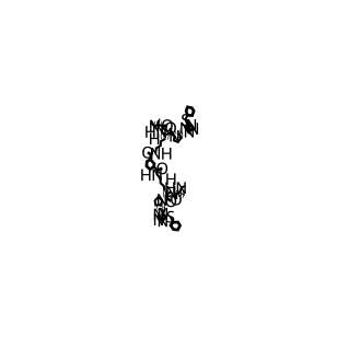 CN[C@@H](C)C(=O)N[C@@H](CCCCNC(=O)c1cccc(C(=O)NCCCC[C@H](NC(=O)[C@H](C)NC)C(=O)N2CCC[C@H]2Cn2nnnc2Sc2ccccc2)c1)C(=O)N1CCC[C@H]1Cn1nnnc1Sc1ccccc1